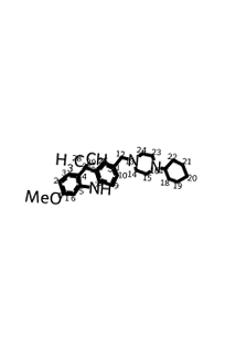 COc1ccc2c(c1)Nc1ccc(CN3CCN(C4CCCCC4)CC3)cc1C2(C)C